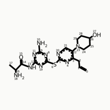 C=CCc1nc(Sc2nc(N)nc(NC(=O)C(C)N)n2)ncc1N1CCC(O)CC1